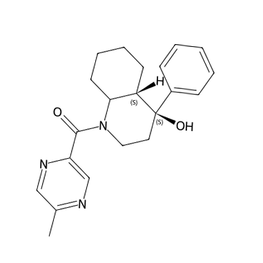 Cc1cnc(C(=O)N2CC[C@@](O)(c3ccccc3)[C@H]3CCCCC32)cn1